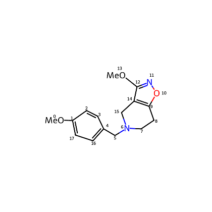 COc1ccc(CN2CCc3onc(OC)c3C2)cc1